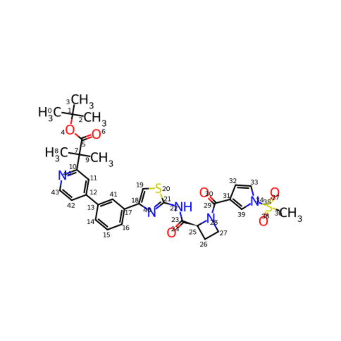 CC(C)(C)OC(=O)C(C)(C)c1cc(-c2cccc(-c3csc(NC(=O)[C@@H]4CCN4C(=O)c4ccn(S(C)(=O)=O)c4)n3)c2)ccn1